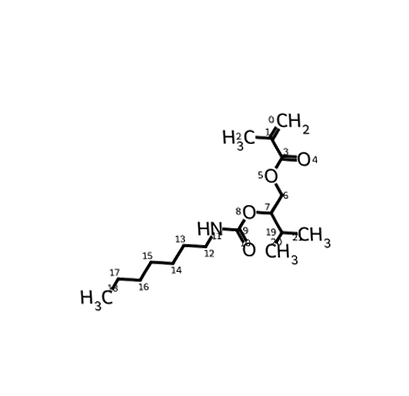 C=C(C)C(=O)OCC(OC(=O)NCCCCCCC)C(C)C